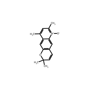 Cc1cc(C)[n+]([O-])c2cc3c(cc12)OC(C)(C)C=C3